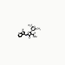 CCCCC(=O)C1=C(N2C[C@@H](C)O[C@@H](C)C2)O/C(=C\c2c[nH]c3ncccc23)C1=O